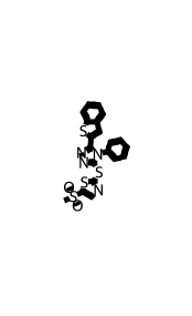 CS(=O)(=O)c1cnc(Sc2nnc(-c3cc4ccccc4s3)n2-c2ccccc2)s1